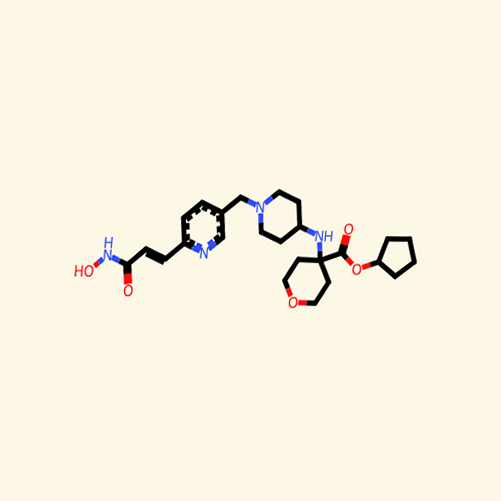 O=C(/C=C/c1ccc(CN2CCC(NC3(C(=O)OC4CCCC4)CCOCC3)CC2)cn1)NO